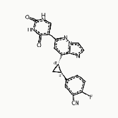 N#Cc1cc([C@H]2C[C@@H]2c2cc(-c3c[nH]c(=O)[nH]c3=O)nn3ccnc23)ccc1F